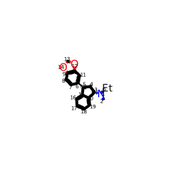 CCN(C)[C@@H]1C[C@H](c2ccc3c(c2)OCO3)c2ccccc21